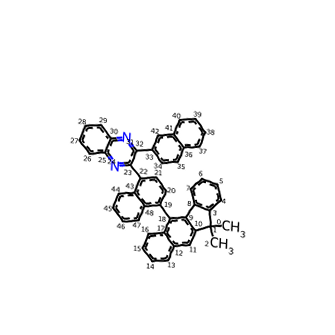 CC1(C)c2ccccc2-c2c1cc1ccccc1c2-c1ccc(-c2nc3ccccc3nc2-c2ccc3ccccc3c2)c2ccccc12